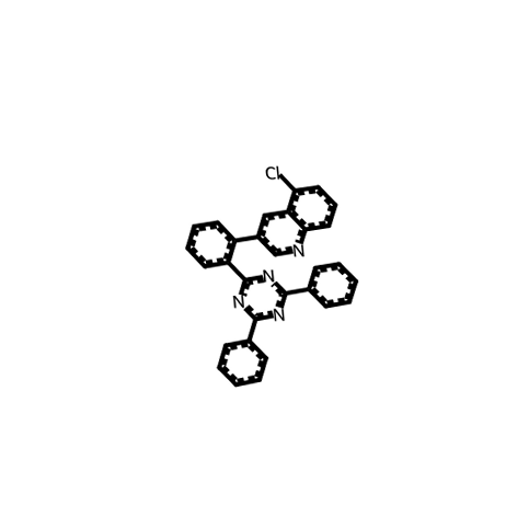 Clc1cccc2ncc(-c3ccccc3-c3nc(-c4ccccc4)nc(-c4ccccc4)n3)cc12